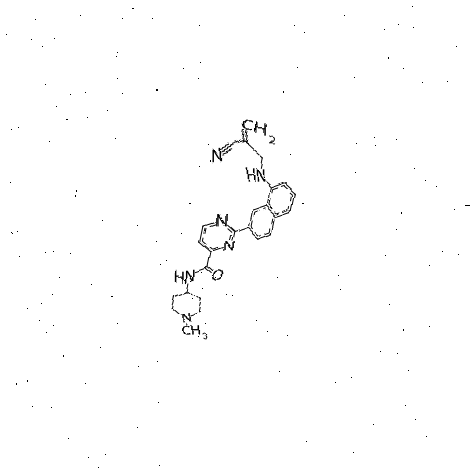 C=C(C#N)CNc1cccc2ccc(-c3nccc(C(=O)NC4CCN(C)CC4)n3)cc12